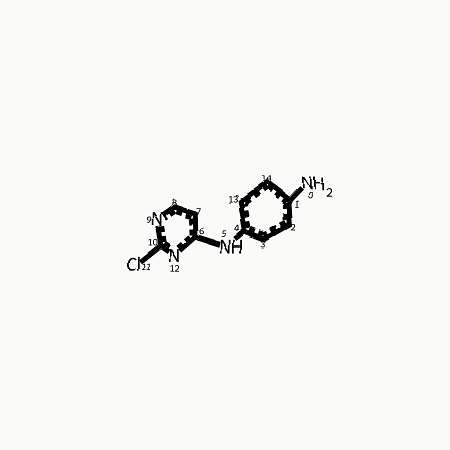 Nc1ccc(Nc2ccnc(Cl)n2)cc1